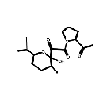 CC(=O)C1CCCN1C(=O)C(=O)C1(O)OC(C(C)C)CCC1C